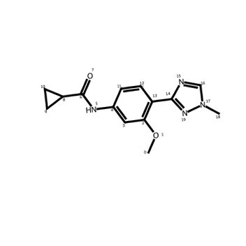 COc1cc(NC(=O)C2CC2)c[c]c1-c1ncn(C)n1